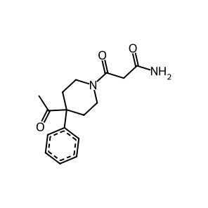 CC(=O)C1(c2ccccc2)CCN(C(=O)CC(N)=O)CC1